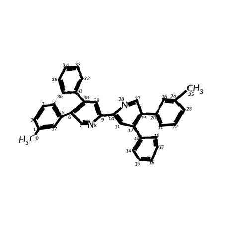 Cc1cccc(-c2cnc(-c3cc(-c4ccccc4)c(-c4cccc(C)c4)cn3)cc2-c2ccccc2)c1